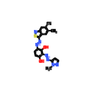 Cc1cc2c(/N=N/c3ccc(O)c(/N=N/c4ccnn4C)c3O)snc2cc1C#N